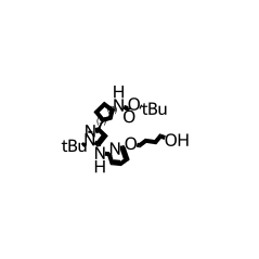 CC(C)(C)OC(=O)N[C@@H]1CC[C@H](c2cc(Nc3cccc(OCCCCO)n3)n(C(C)(C)C)n2)C1